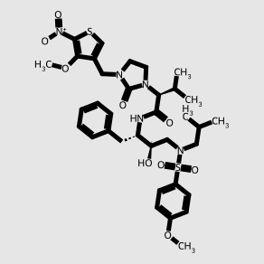 COc1ccc(S(=O)(=O)N(CC(C)C)C[C@@H](O)[C@H](Cc2ccccc2)NC(=O)[C@H](C(C)C)N2CCN(Cc3csc([N+](=O)[O-])c3OC)C2=O)cc1